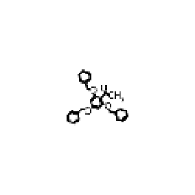 CC(=O)c1c(OCc2ccccc2)cc(OCc2ccccc2)cc1OCc1ccccc1